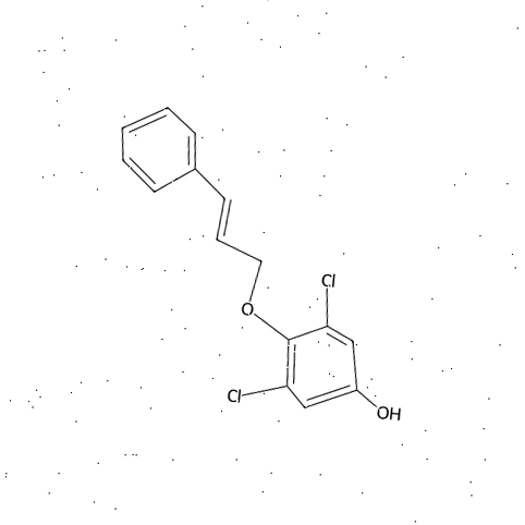 Oc1cc(Cl)c(OCC=Cc2ccccc2)c(Cl)c1